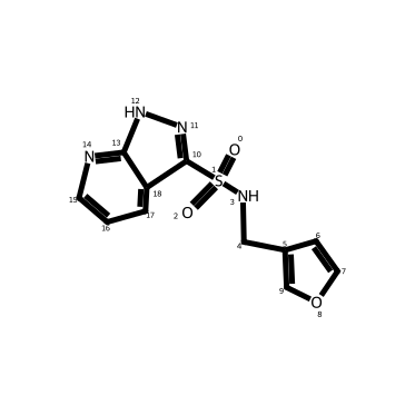 O=S(=O)(NCc1ccoc1)c1n[nH]c2ncccc12